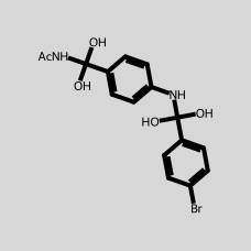 CC(=O)NC(O)(O)c1ccc(NC(O)(O)c2ccc(Br)cc2)cc1